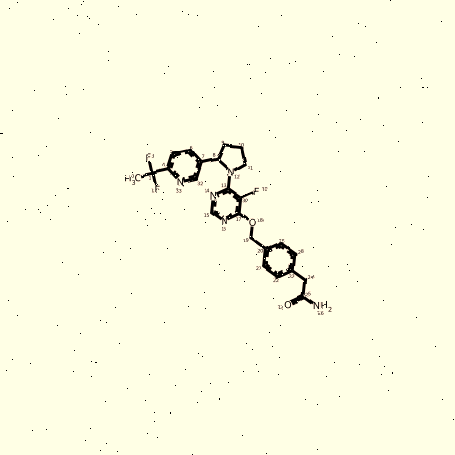 CC(F)(F)c1ccc(C2CCCN2c2ncnc(OCc3ccc(CC(N)=O)cc3)c2F)cn1